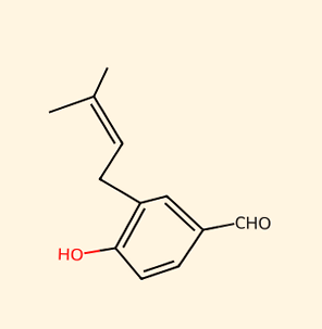 CC(C)=CCc1cc(C=O)ccc1O